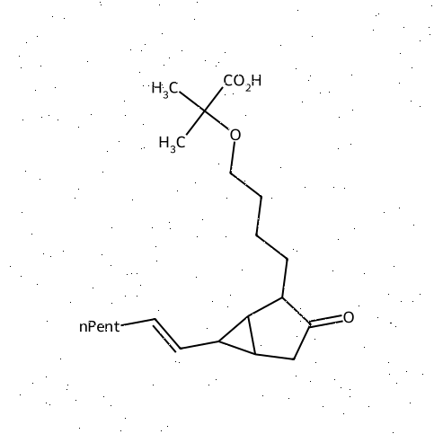 CCCCCC=CC1C2CC(=O)C(CCCCOC(C)(C)C(=O)O)C12